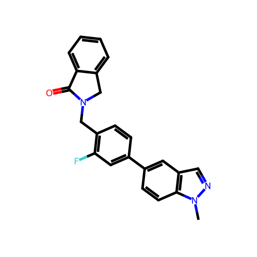 Cn1ncc2cc(-c3ccc(CN4Cc5ccccc5C4=O)c(F)c3)ccc21